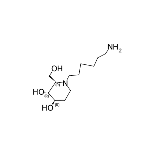 NCCCCCCN1CC[C@@H](O)[C@H](O)[C@H]1CO